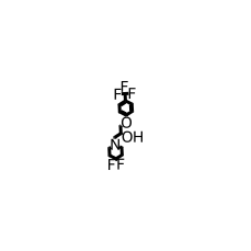 O[C@H](COc1ccc(C(F)(F)F)cc1)CN1CCC(F)(F)CC1